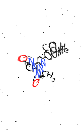 COc1ccc(-c2ccc3c(N4CCOC[C@@H]4C)nc(N4CCOC[C@@H]4C)nc3n2)cc1C(=O)O